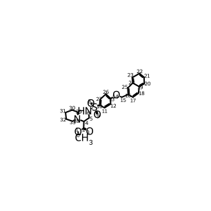 COC(=O)C(CNS(=O)(=O)c1ccc(OCc2ccc3ccccc3c2)cc1)N1CCCCC1